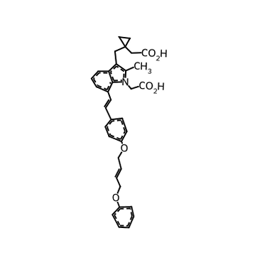 Cc1c(CC2(CC(=O)O)CC2)c2cccc(C=Cc3ccc(OCC=CCOc4ccccc4)cc3)c2n1CC(=O)O